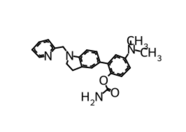 CN(C)c1ccc(OC(N)=O)c(-c2ccc3c(c2)CCN3Cc2ccccn2)c1